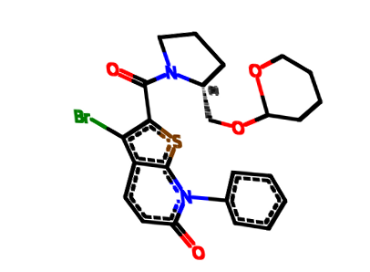 O=C(c1sc2c(ccc(=O)n2-c2ccccc2)c1Br)N1CCC[C@@H]1COC1CCCCO1